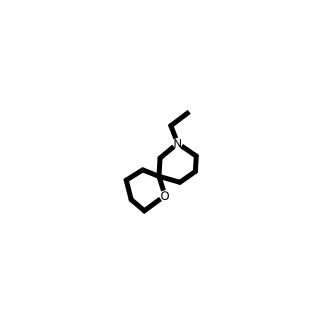 CCN1CCCC2(CCCCO2)C1